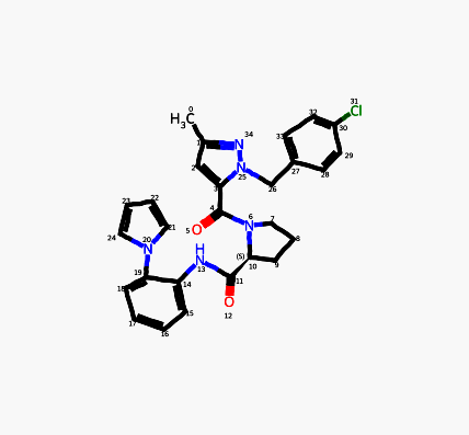 Cc1cc(C(=O)N2CCC[C@H]2C(=O)Nc2ccccc2-n2cccc2)n(Cc2ccc(Cl)cc2)n1